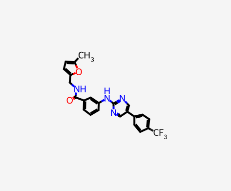 Cc1ccc(CNC(=O)c2cccc(Nc3ncc(-c4ccc(C(F)(F)F)cc4)cn3)c2)o1